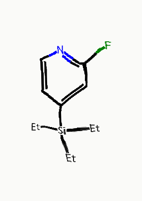 CC[Si](CC)(CC)c1ccnc(F)c1